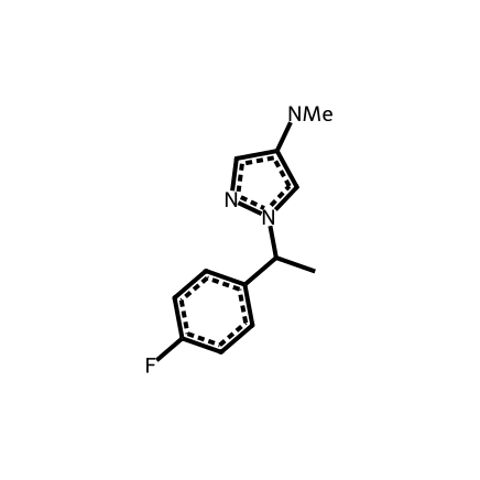 CNc1cnn(C(C)c2ccc(F)cc2)c1